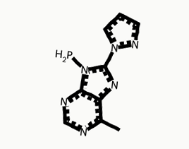 Cc1ncnc2c1nc(-n1cccn1)n2P